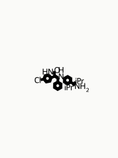 CC(C)C(N)(c1ccc(N/C(=C2\C(=O)Nc3cc(Cl)ccc32)c2ccccc2)cc1)C(C)C